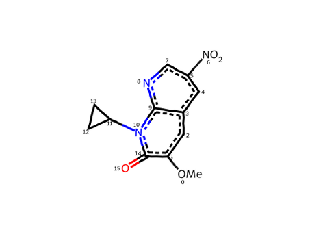 COc1cc2cc([N+](=O)[O-])cnc2n(C2CC2)c1=O